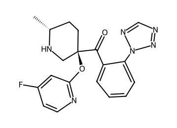 C[C@@H]1CC[C@](Oc2cc(F)ccn2)(C(=O)c2ccccc2-n2ncnn2)CN1